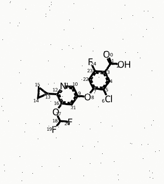 O=C(O)c1cc(Cl)c(Oc2cnc(C3CC3)c(OC(F)F)c2)cc1F